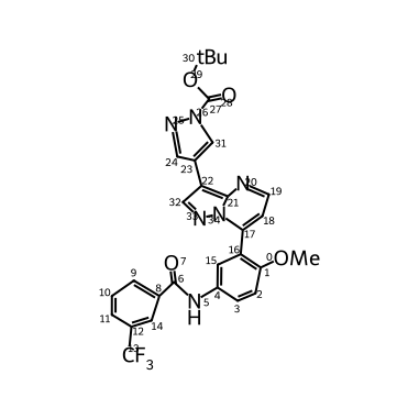 COc1ccc(NC(=O)c2cccc(C(F)(F)F)c2)cc1-c1ccnc2c(-c3cnn(C(=O)OC(C)(C)C)c3)cnn12